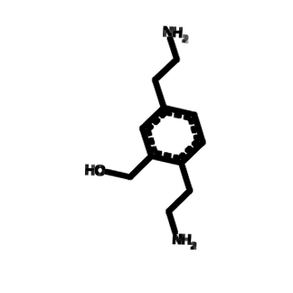 NCCc1ccc(CCN)c(CO)c1